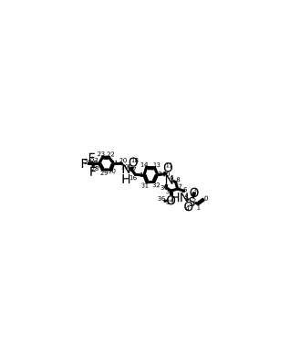 C=CS(=O)(=O)NCC1CN(C(=O)c2ccc(CC(=O)NCc3ccc(C(F)(F)F)cc3)cc2)CC1OC